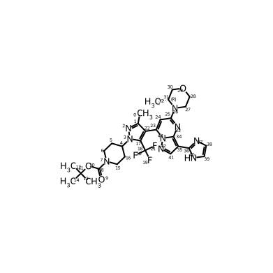 Cc1nn(C2CCN(C(=O)OC(C)(C)C)CC2)c(C(F)(F)F)c1-c1cc(N2CCOC[C@H]2C)nc2c(-c3ncc[nH]3)cnn12